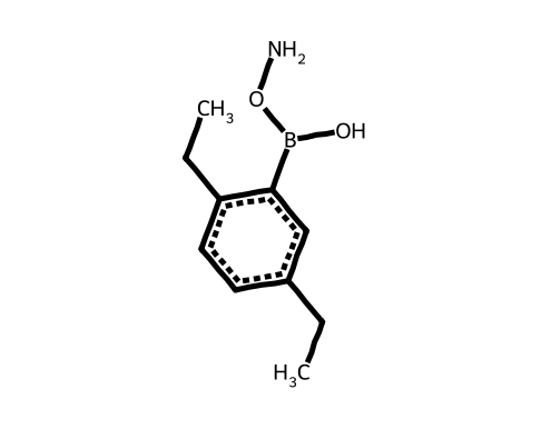 CCc1ccc(CC)c(B(O)ON)c1